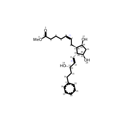 COC(=O)CCC/C=C\C[C@@H]1[C@@H](/C=C/[C@@H](O)CCc2ccccc2)[C@H](O)C[C@@H]1O